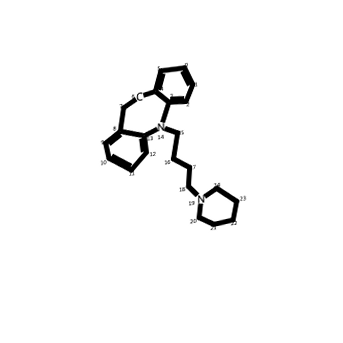 c1ccc2c(c1)CCc1ccccc1N2CCCCN1CCCCC1